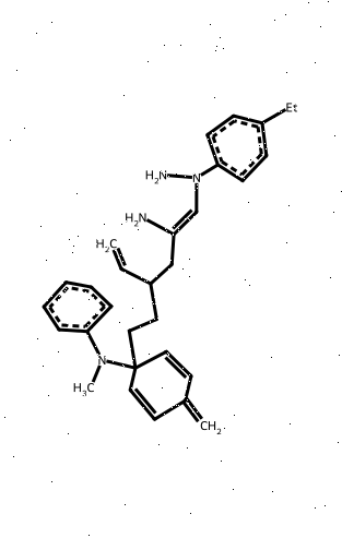 C=CC(CCC1(N(C)c2ccccc2)C=CC(=C)C=C1)C/C(N)=C/N(N)c1ccc(CC)cc1